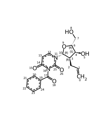 C=CC[C@@H]1[C@H](O)[C@@H](CO)O[C@H]1n1ccc(=O)n(C(=O)c2ccccc2)c1=O